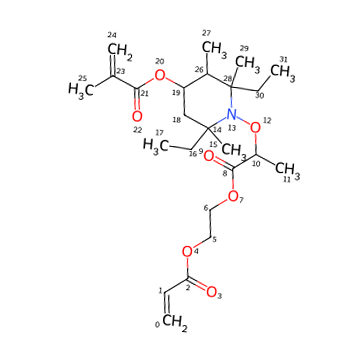 C=CC(=O)OCCOC(=O)C(C)ON1C(C)(CC)CC(OC(=O)C(=C)C)C(C)C1(C)CC